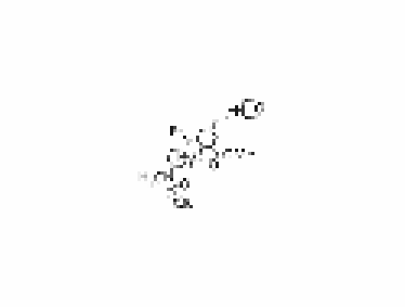 CCN(C1=C(C)C(C(=O)OC)=CC(=CCCN2CCOCC2)C1)[C@H]1CC[C@H](N(C)C(=O)OC(C)(C)C)CC1